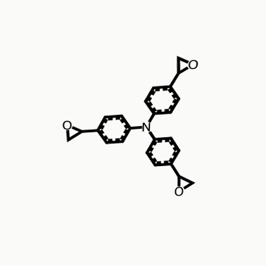 c1cc(N(c2ccc(C3CO3)cc2)c2ccc(C3CO3)cc2)ccc1C1CO1